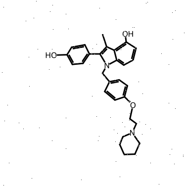 Cc1c(-c2ccc(O)cc2)n(Cc2ccc(OCCN3CCCCC3)cc2)c2cccc(O)c12